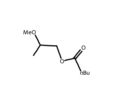 CCCCC(=O)OCC(C)OC